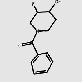 O=C(c1ccccc1)N1CCC(O)C(F)C1